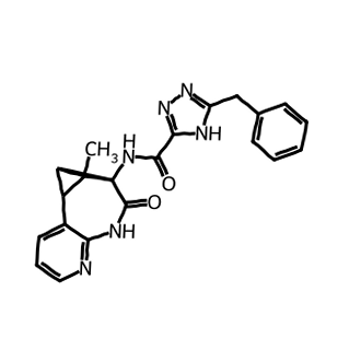 CC12C3c4cccnc4NC(=O)C1(NC(=O)c1nnc(Cc4ccccc4)[nH]1)C32